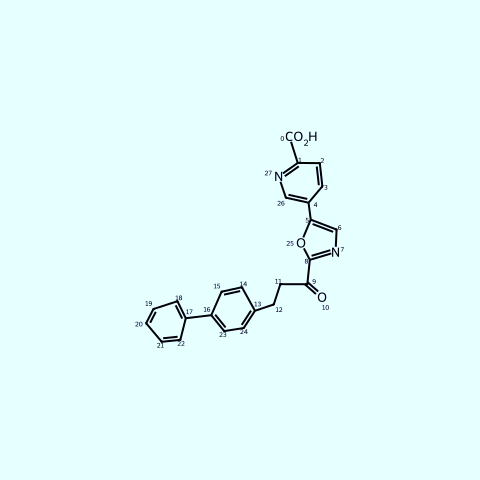 O=C(O)c1ccc(-c2cnc(C(=O)CCc3ccc(-c4ccccc4)cc3)o2)cn1